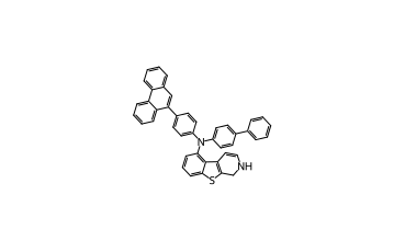 C1=Cc2c(sc3cccc(N(c4ccc(-c5ccccc5)cc4)c4ccc(-c5cc6ccccc6c6ccccc56)cc4)c23)CN1